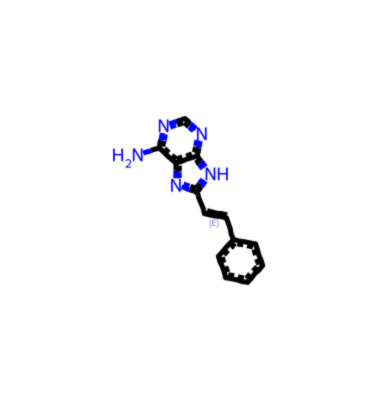 Nc1ncnc2[nH]c(/C=C/c3ccccc3)nc12